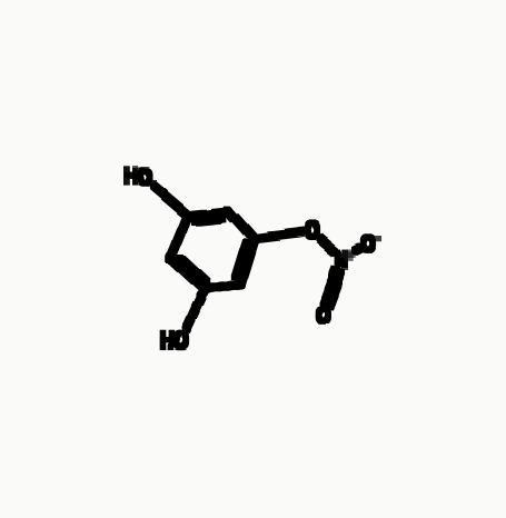 O=[N+]([O-])Oc1cc(O)cc(O)c1